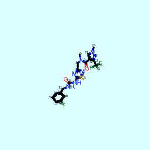 CN(Cc1nsc(NC(=O)NCc2cccc(F)c2)n1)C(=O)c1cn(C)nc1C(F)(F)F